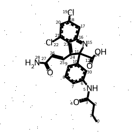 CCCC(=O)Nc1cccc(C2(C(=O)O)N=c3cc(Cl)cc(Cl)c3=C2C=CC(N)=O)c1